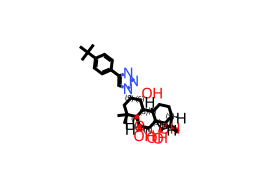 C=C1C(=O)[C@]23[C@H](O)[C@H]1CC[C@H]2[C@@]12CO[C@@]3(O)[C@@H](O)[C@@H]1C(C)(C)C[C@H](n1cc(-c3ccc(C(C)(C)C)cc3)nn1)[C@H]2O